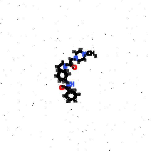 CN1CCN(CC(=O)N2CCc3ccc(NC(=O)c4ccccc4)cc32)CC1